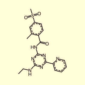 CCNc1nc(NC(=O)c2ccc(S(C)(=O)=O)cc2C)nc(-c2ccccn2)n1